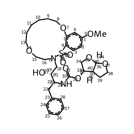 COc1ccc2c(c1)OCCCCCCOCCN(C[C@@H](O)[C@H](Cc1ccccc1)NC(=O)O[C@H]1CO[C@H]3OCC[C@H]31)S2(=O)=O